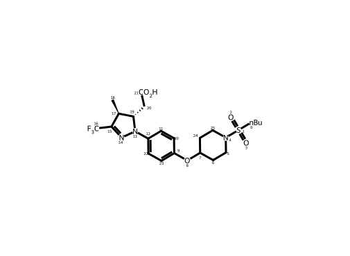 CCCCS(=O)(=O)N1CCC(Oc2ccc(N3N=C(C(F)(F)F)[C@@H](C)[C@@H]3CC(=O)O)cc2)CC1